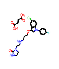 O=C(O)C=CC(=O)O.O=C1NCCN1CCNCCCOc1cn(-c2ccc(F)cc2)c2ccc(Cl)cc12